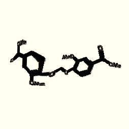 COC(=O)c1ccc(OCOc2ccc(C(=O)OC)cc2OC)c(OC)c1